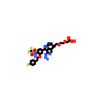 Cn1nc(-c2ccc(NS(=O)(=O)C(F)F)c(OCCc3ccc(F)cc3)c2)c2c(N)ncc(C#CCOCCOCC(=O)O)c21